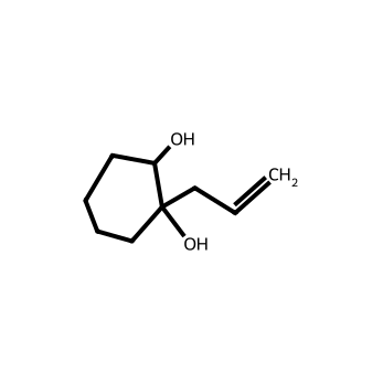 C=CCC1(O)CCCCC1O